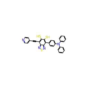 Sc1c(S)c(-c2ccc(N(c3ccccc3)c3ccccc3)cc2)c2nsnc2c1C#Cc1ccncc1